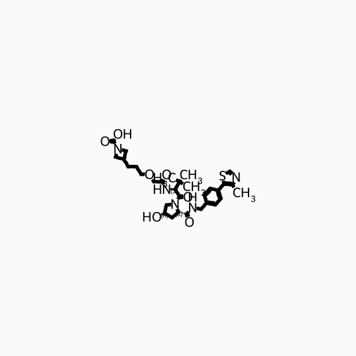 Cc1ncsc1-c1ccc(CNC(=O)[C@@H]2C[C@@H](O)CN2C(=O)[C@@H](NC(=O)COCCCC2CN(C(=O)O)C2)C(C)(C)C)cc1